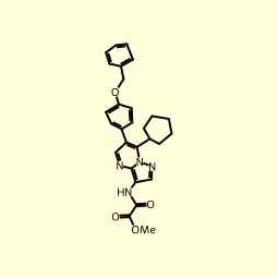 COC(=O)C(=O)Nc1cnn2c(C3CCCCC3)c(-c3ccc(OCc4ccccc4)cc3)cnc12